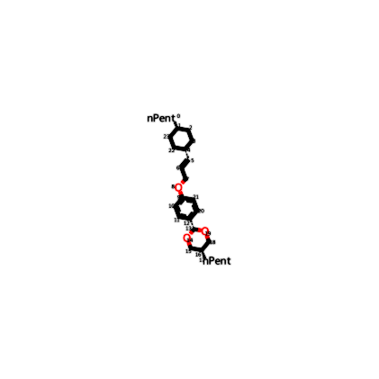 CCCCC[C@H]1CC[C@H](C=CCOc2ccc([C@H]3OC[C@H](CCCCC)CO3)cc2)CC1